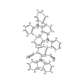 N#Cc1ccc(-c2ccccc2-n2c3ccccc3c3c2ccc2c4ccccc4n(-c4ccccc4)c23)c(C#N)c1-n1c2ccccc2c2ccccc21